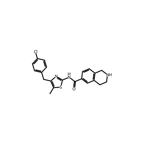 Cc1sc(NC(=O)c2ccc3c(c2)CCNC3)nc1Cc1ccc(Cl)cc1